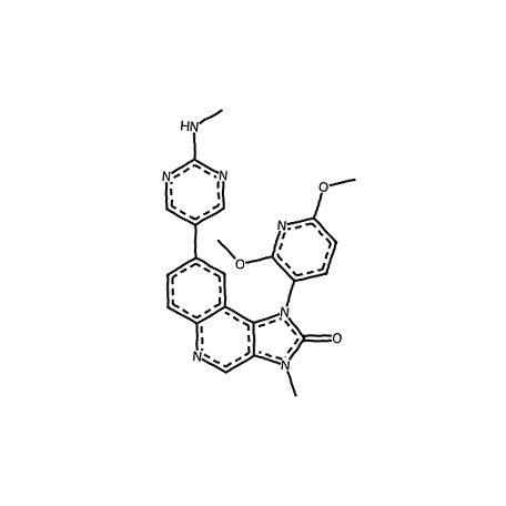 CNc1ncc(-c2ccc3ncc4c(c3c2)n(-c2ccc(OC)nc2OC)c(=O)n4C)cn1